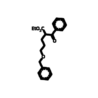 CCOC(=O)C(CCCOCc1ccccc1)C(=O)c1ccccc1